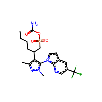 CCCCC(CS(=O)(=O)OC(N)=O)c1c(C)nn(C)c1-n1ccc2cc(C(F)(F)F)cnc21